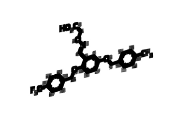 O=C(O)CON=Cc1cc(OCc2ccc(C(F)(F)F)cc2)ccc1OCc1ccc(C(F)(F)F)cc1